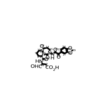 O=C[C@H](CC(=O)O)NC(=O)[C@@H]1CCCN2C(=O)CCN(NC(=O)C(=O)c3ccc4c(c3)OCO4)C(=O)N12